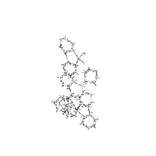 CC1(C)c2ccccc2-c2cccc(-c3ccccc3N(c3ccc4c(c3)C3(c5ccccc5-4)C4CC5CC(C4)CC3C5)c3ccccc3-c3cccc4ccccc34)c21